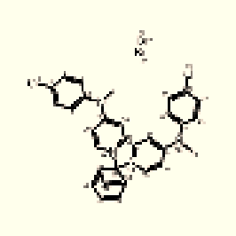 CN(c1ccc(Cl)cc1)c1cc[n+](C2([n+]3ccc(N(C)c4ccc(Cl)cc4)cc3)C3=CC=CC2=C3)cc1.[Br-].[Br-]